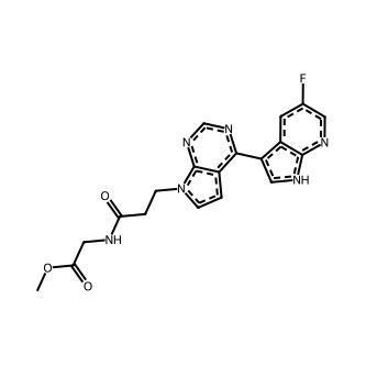 COC(=O)CNC(=O)CCn1ccc2c(-c3c[nH]c4ncc(F)cc34)ncnc21